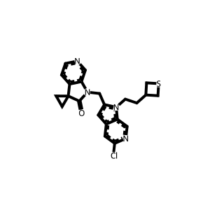 O=C1N(Cc2cc3cc(Cl)ncc3n2CCC2CSC2)c2cnccc2C12CC2